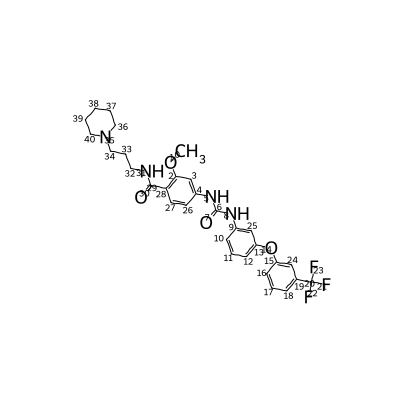 COc1cc(NC(=O)Nc2cccc(Oc3cccc(C(F)(F)F)c3)c2)ccc1C(=O)NCCCN1CCCCC1